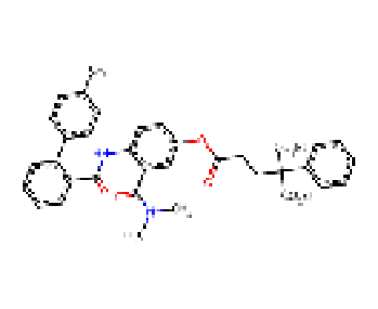 CCOC(=O)C(CCC(=O)Oc1ccc(NC(=O)c2ccccc2-c2ccc(C(F)(F)F)cc2)c(C(=O)N(C)C)c1)(C(=O)OCC)c1ccccc1